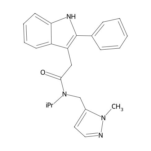 CC(C)N(Cc1ccnn1C)C(=O)Cc1c(-c2ccccc2)[nH]c2ccccc12